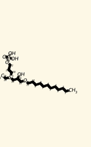 CCCCCCCCCCCCOCC(O)C[S+](CC)CCCOP(=O)(O)O